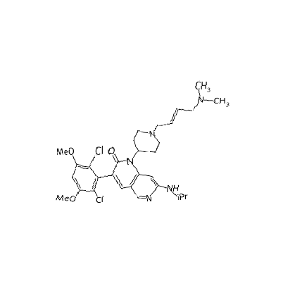 COc1cc(OC)c(Cl)c(-c2cc3cnc(NC(C)C)cc3n(C3CCN(C/C=C/CN(C)C)CC3)c2=O)c1Cl